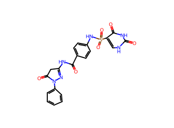 O=C(NC1=NN(c2ccccc2)C(=O)C1)c1ccc(NS(=O)(=O)c2c[nH]c(=O)[nH]c2=O)cc1